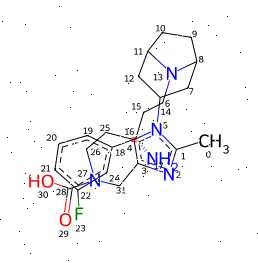 Cc1nc2c(n1C1CC3CCC(C1)N3CC[C@H](N)c1cccc(F)c1)CCN(C(=O)O)C2